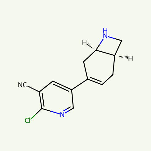 N#Cc1cc(C2=CC[C@@H]3CN[C@@H]3C2)cnc1Cl